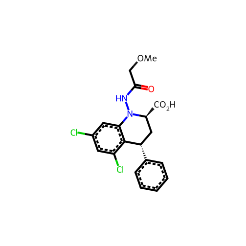 COCC(=O)NN1c2cc(Cl)cc(Cl)c2[C@@H](c2ccccc2)C[C@@H]1C(=O)O